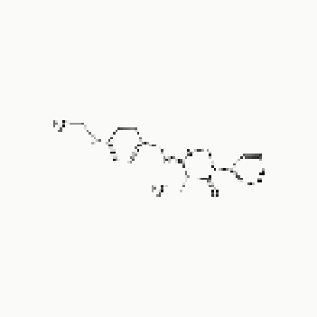 O=C1N(CC(F)(F)F)C(=NCc2ccc(OCC(F)(F)F)cc2)SCN1c1ccccc1